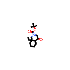 CCC12CCCCC1C(=O)CN(C(=O)OC(C)(C)C)C2